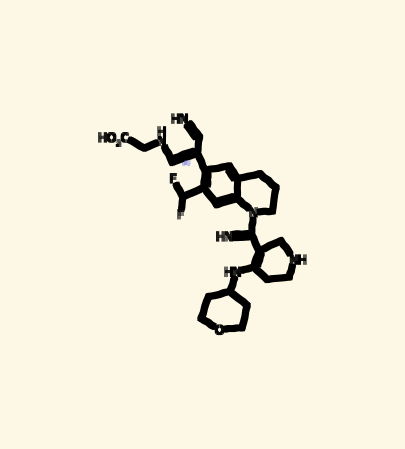 N=C/C(=C\NCC(=O)O)c1cc2c(cc1C(F)F)N(C(=N)C1=C(NC3CCOCC3)CCNC1)CCC2